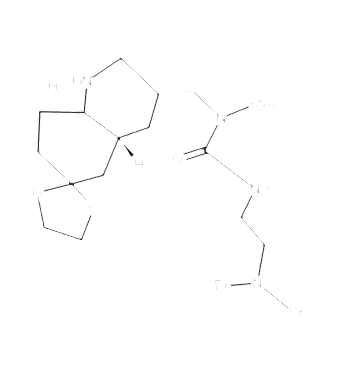 CCCCN(C[C@H]1CN[C@@H]2CCC3(C[C@H]2C1)OCCO3)C(=O)NCCN(CC)CC